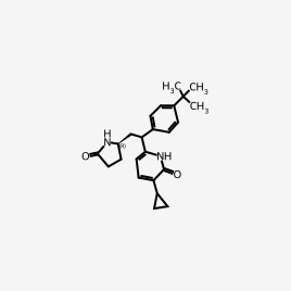 CC(C)(C)c1ccc(C(C[C@H]2CCC(=O)N2)c2ccc(C3CC3)c(=O)[nH]2)cc1